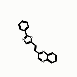 C(=Cc1cnc(-c2ccccc2)o1)c1cnc2ccccc2n1